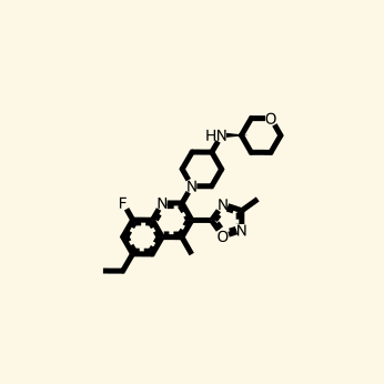 CCc1cc(F)c2nc(N3CCC(N[C@@H]4CCCOC4)CC3)c(-c3nc(C)no3)c(C)c2c1